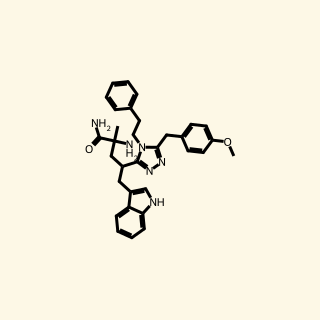 COc1ccc(Cc2nnc(C(Cc3c[nH]c4ccccc34)CC(C)(N)C(N)=O)n2CCc2ccccc2)cc1